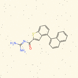 NC(N)=NC(=O)c1cc2c(-c3cccc4ccccc34)cccc2s1